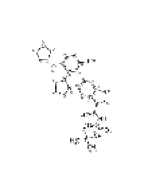 CC(C)(C)NS(=O)(=O)NC(=O)c1cnc2ccc(N3CCCC3c3cc(F)ccc3O[C@@H]3CCOC3)cn12